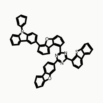 c1ccc(-n2c3ccccc3c3cc(-c4cccc5c4oc4cccc(-c6nc(-c7ccc8c(c7)oc7ccccc78)nc(-c7cccc8c7sc7ccccc78)n6)c45)ccc32)cc1